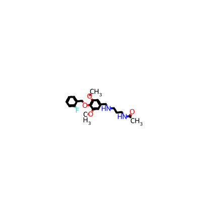 COc1cc(CNCCCNC(C)=O)cc(OC)c1OCc1ccccc1F